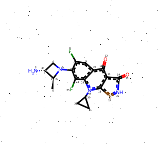 C[C@H]1[C@H](N)CN1c1c(F)cc2c(=O)c3c(=O)[nH]sc3n(C3CC3)c2c1F